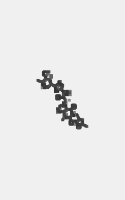 Cc1cc(Cn2c(=O)c3c(ncn3[C@@H](C)C(=O)Nc3csc(-c4cnc(C)c(C(F)(F)F)c4)n3)n(C)c2=O)no1